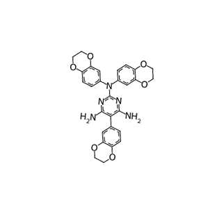 Nc1nc(N(c2ccc3c(c2)OCCO3)c2ccc3c(c2)OCCO3)nc(N)c1-c1ccc2c(c1)OCCO2